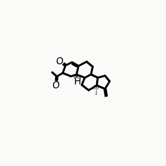 C=C1CCC2C3CCC4=CC(=O)C(C(C)=O)C[C@@H]4C3CC[C@]12C